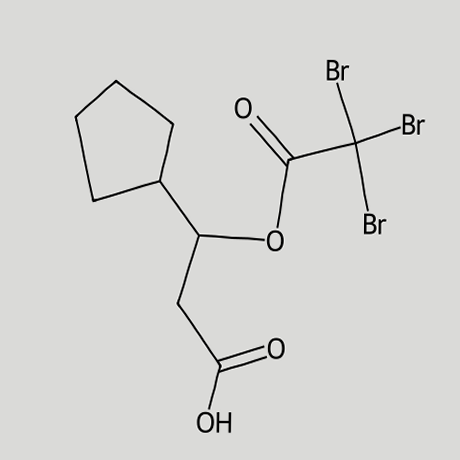 O=C(O)CC(OC(=O)C(Br)(Br)Br)C1CCCC1